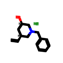 C=C[C@H]1C[C@@H](O)CN(Cc2ccccc2)C1.Cl